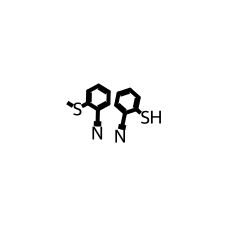 CSc1ccccc1C#N.N#Cc1ccccc1S